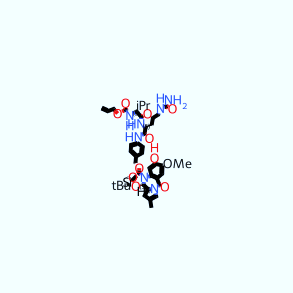 C=CCOC(=O)N[C@H](C(=O)N[C@@H](CCCNC(N)=O)C(=O)Nc1ccc(COC(=O)N2c3cc(O)c(OC)cc3C(=O)N3C=C(C)C[C@H]3[C@@H]2O[Si](C)(C)C(C)(C)C)cc1)C(C)C